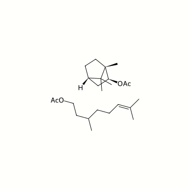 CC(=O)OCCC(C)CCC=C(C)C.CC(=O)O[C@H]1C[C@@H]2CC[C@@]1(C)C2(C)C